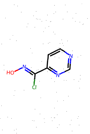 ON=C(Cl)c1ccncn1